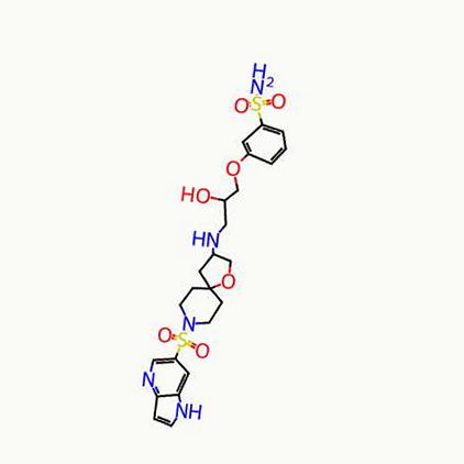 NS(=O)(=O)c1cccc(OCC(O)CNC2COC3(CCN(S(=O)(=O)c4cnc5cc[nH]c5c4)CC3)C2)c1